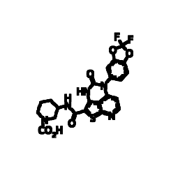 O=C(NC1CCCN(C(=O)O)C1)c1sc2nccc3c2c1NC(=O)N3c1ccc2c(c1)OC(F)(F)O2